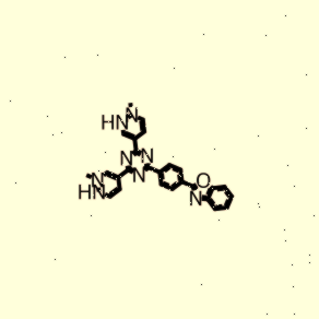 CN1C=CC(c2nc(C3=CN(C)NC=C3)nc(-c3ccc(-c4nc5ccccc5o4)cc3)n2)=CN1